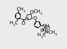 CO[C@@H]1CN(C(=O)c2cc(C)ccc2C)C[C@H]1Oc1cccc(NS(=O)(=O)N(C)C)c1